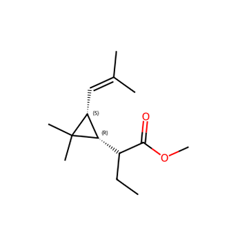 CCC(C(=O)OC)[C@H]1[C@@H](C=C(C)C)C1(C)C